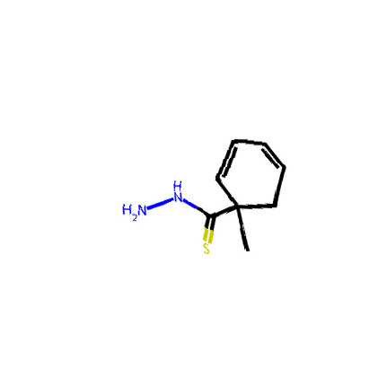 CC1(C(=S)NN)C=CC=CC1